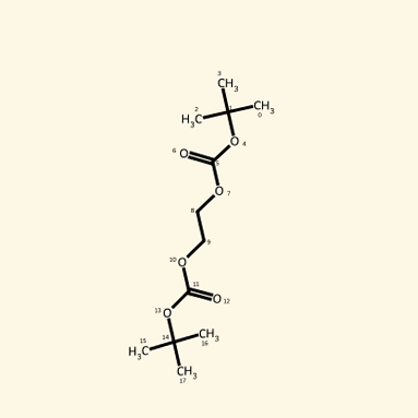 CC(C)(C)OC(=O)OCCOC(=O)OC(C)(C)C